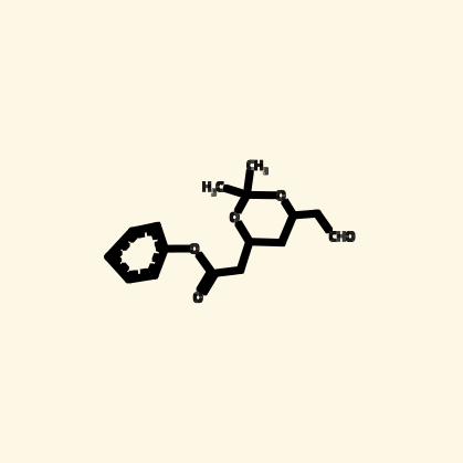 CC1(C)OC(CC=O)CC(CC(=O)Oc2ccccc2)O1